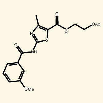 COc1cccc(C(=O)Nc2nc(C)c(C(=O)NCCOC(C)=O)s2)c1